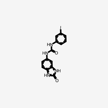 O=C(Nc1cccc(I)c1)Nc1ccc2[nH]c(=O)[nH]c2c1